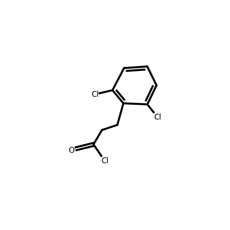 O=C(Cl)CCc1c(Cl)cccc1Cl